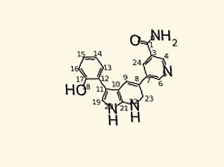 NC(=O)c1cncc(C2=Cc3c(-c4ccccc4O)c[nH]c3NC2)c1